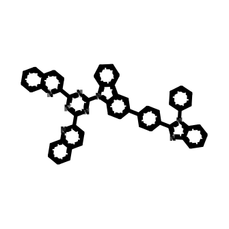 c1ccc(-n2c(-c3ccc(-c4ccc5c(c4)c4ccccc4n5-c4nc(-c5ccc6ccccc6n5)nc(-c5ccc6ccccc6n5)n4)cc3)nc3ccccc32)cc1